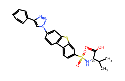 CC(C)[C@H](NS(=O)(=O)c1ccc2c(c1)sc1cc(-n3cc(-c4ccccc4)nn3)ccc12)C(=O)O